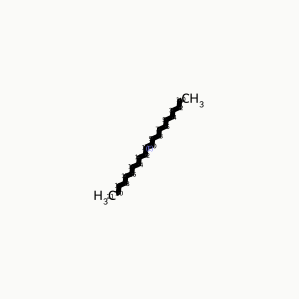 CCCCCCCCCC/C=C/CCCCCCCCCC